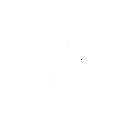 CN[C@@H]1CCCC[C@H]1N(C)CN(Cc1n[nH]cc1C)C(=O)OC(C)(C)C